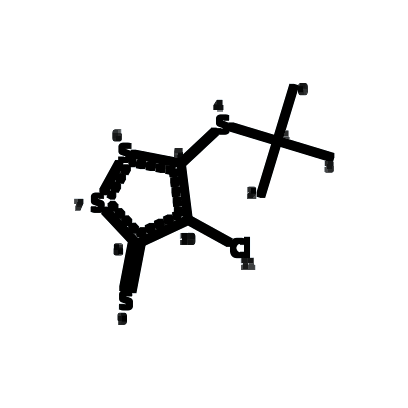 CC(C)(C)Sc1ssc(=S)c1Cl